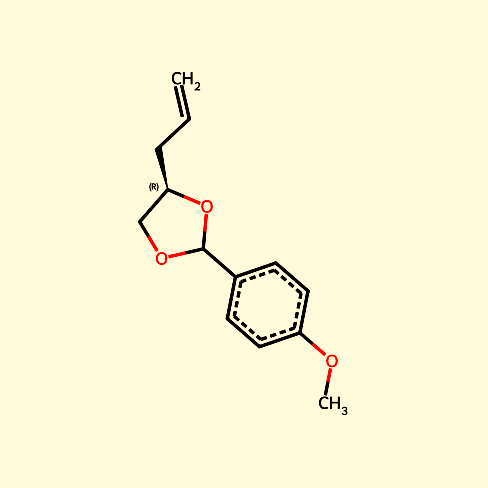 C=CC[C@@H]1COC(c2ccc(OC)cc2)O1